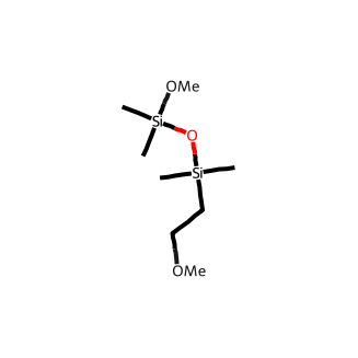 COCC[Si](C)(C)O[Si](C)(C)OC